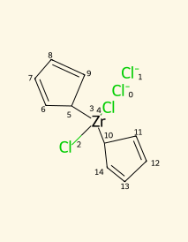 [Cl-].[Cl-].[Cl][Zr]([Cl])([CH]1C=CC=C1)[CH]1C=CC=C1